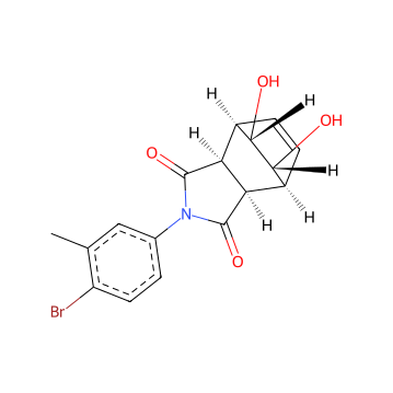 Cc1cc(N2C(=O)[C@@H]3[C@@H]4C=C[C@@H]([C@H](O)[C@@H]4O)[C@@H]3C2=O)ccc1Br